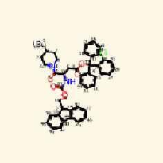 CC(C)(C)C1CCN(C(=O)C(CC(=O)OC(c2ccccc2)(c2ccccc2)c2ccccc2Cl)NC(=O)OCC2c3ccccc3-c3ccccc32)CC1